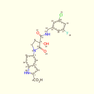 O=C(O)c1cc2cc(N3CC[C@@](O)(C(=O)NCc4cc(F)cc(Cl)c4)C3=O)ccc2[nH]1